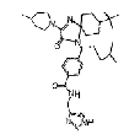 CC(C)CC[C@H](c1ccc(C(=O)NCc2nn[nH]n2)cc1)N1C(=O)C(N2CCC(C)CC2)=NC12CCC(C(C)(C)C)CC2